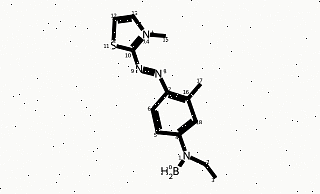 BN(CC)c1ccc(/N=N/c2scc[n+]2C)c(C)c1